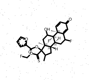 CC1C[C@H]2[C@@H]3CC(F)C4=CC(=O)C=C[C@]4(C)[C@]3(F)C(O)C[C@]2(C)C1(OC(=O)c1ccco1)C(=S)OCF